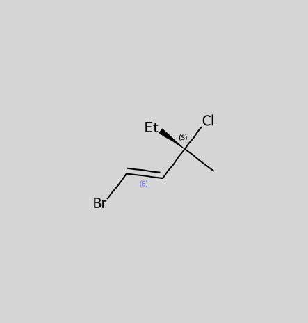 CC[C@](C)(Cl)/C=C/Br